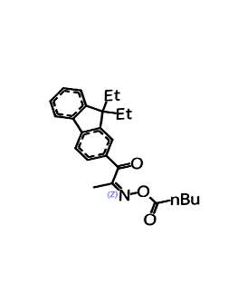 CCCCC(=O)O/N=C(/C)C(=O)c1ccc2c(c1)C(CC)(CC)c1ccccc1-2